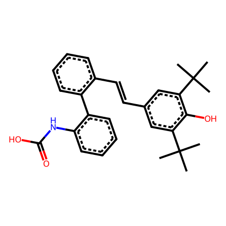 CC(C)(C)c1cc(C=Cc2ccccc2-c2ccccc2NC(=O)O)cc(C(C)(C)C)c1O